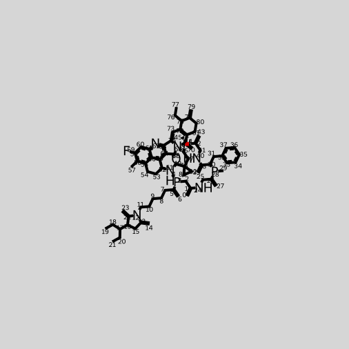 C=C(CP(C)C(=C)CCCCCN1C(=C)CC(C(CC)CC)C1=C)NCC(=C)P(C)C(Cc1ccccc1)C(=C)NCC(=C)N(C)CCC1(C(=O)NC2CCc3c(C)c(F)cc4nc5c(c2c34)CN2C(=C)C3=C(C=C52)C(CC)C(=C)CC3)CC1